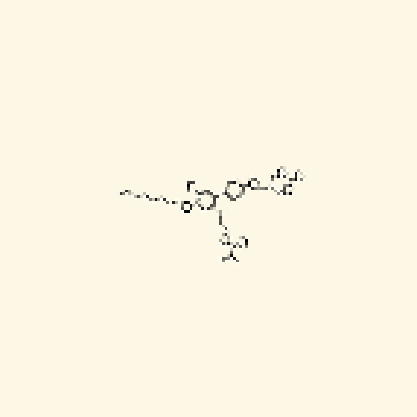 C=C(C)C(=O)OCCCc1cc(OCCCCCCCC)c(F)cc1-c1ccc(OCC2COC(=O)OC2)cc1